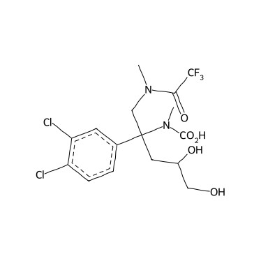 CN(CC(CC(O)CO)(c1ccc(Cl)c(Cl)c1)N(C)C(=O)O)C(=O)C(F)(F)F